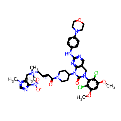 COc1cc(OC)c(Cl)c(N2Cc3cnc(Nc4ccc(N5CCOCC5)cc4)nc3N(C3CCN(C(=O)/C=C/C[N+](C)(C)Cc4c([N+](=O)[O-])ncn4C)CC3)C2=O)c1Cl